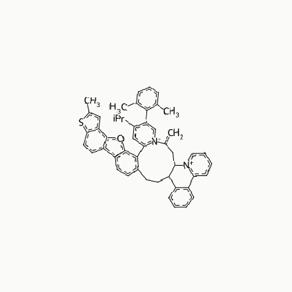 C=C1CC2C(CCc3ccc4c(oc5c6cc(C)sc6ccc45)c3-c3cc(C(C)C)c(-c4c(C)cccc4C)c[n+]31)c1ccccc1-c1cccc[n+]12